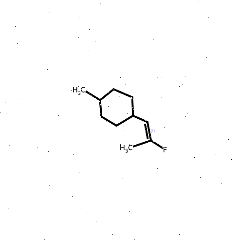 C/C(F)=C\C1CCC(C)CC1